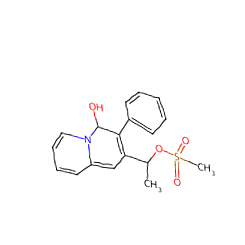 CC(OS(C)(=O)=O)C1=C(c2ccccc2)C(O)N2C=CC=CC2=C1